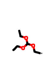 [CH2]COC(OCC)OCC